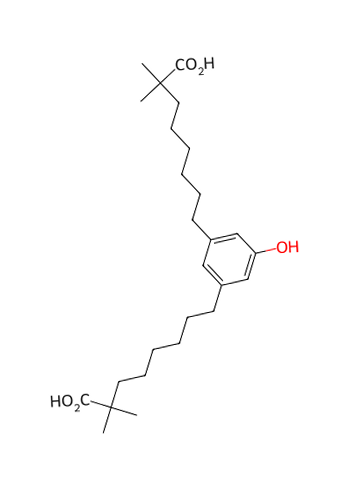 CC(C)(CCCCCCc1cc(O)cc(CCCCCCC(C)(C)C(=O)O)c1)C(=O)O